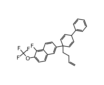 C=CCCC1(c2ccc3c(F)c(OC(F)(F)F)ccc3c2)C=CC(c2ccccc2)C=C1